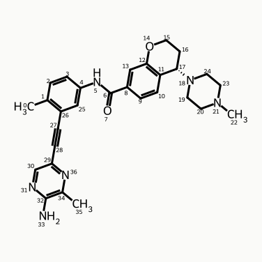 Cc1ccc(NC(=O)c2ccc3c(c2)OCC[C@@H]3N2CCN(C)CC2)cc1C#Cc1cnc(N)c(C)n1